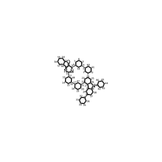 c1ccc(-c2cccc(-c3nc(-c4cccc(-c5cccc(-c6cccc7c6c6cc(-c8ccccc8)ccc6n7-c6ccccc6)c5)c4)nc4c3oc3ccccc34)c2)cc1